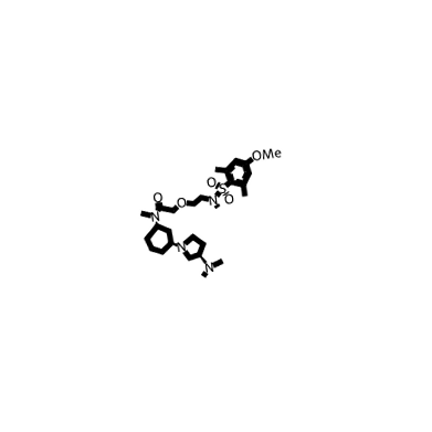 COc1cc(C)c(S(=O)(=O)N(C)CCOCC(=O)N(C)[C@H]2CCC[C@H](N3CC[C@@H](N(C)C)C3)C2)c(C)c1